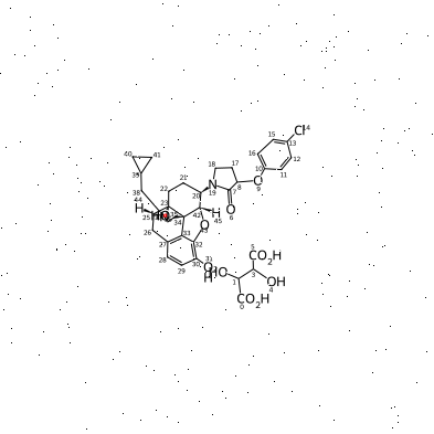 O=C(O)C(O)C(O)C(=O)O.O=C1C(Oc2ccc(Cl)cc2)CCN1[C@@H]1CC[C@@]2(O)[C@H]3Cc4ccc(O)c5c4[C@@]2(CCN3CC2CC2)[C@H]1O5